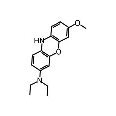 CCN(CC)c1ccc2c(c1)Oc1cc(OC)ccc1N2